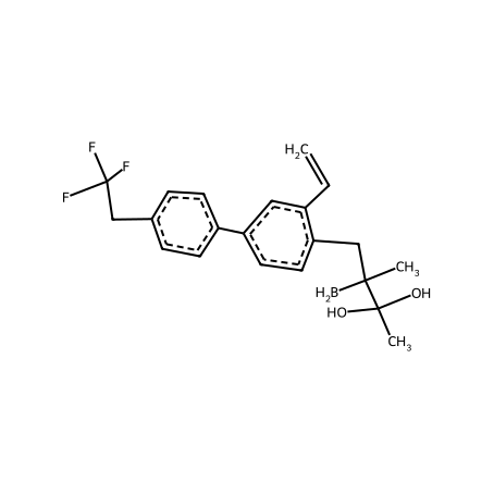 BC(C)(Cc1ccc(-c2ccc(CC(F)(F)F)cc2)cc1C=C)C(C)(O)O